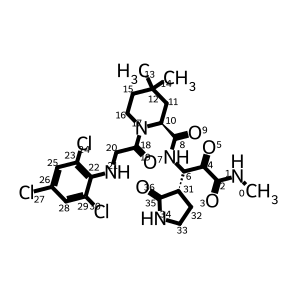 CNC(=O)C(=O)C(NC(=O)[C@@H]1CC(C)(C)CCN1C(=O)CNc1c(Cl)cc(Cl)cc1Cl)[C@@H]1CCNC1=O